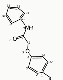 Cc1ccc(OCC(=O)Nc2ccccc2)cc1